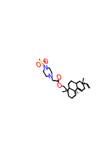 C=C[C@]1(C)CC=C2C(CCC3[C@@](C)(COC(=O)CN4CCN(S(C)(=O)=O)CC4)CCC[C@]23C)C1